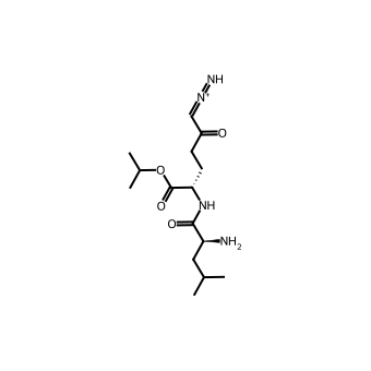 CC(C)C[C@H](N)C(=O)N[C@@H](CCC(=O)C=[N+]=N)C(=O)OC(C)C